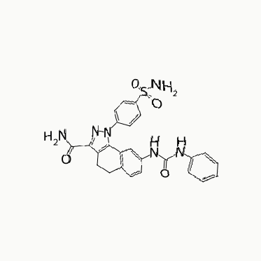 NC(=O)c1nn(-c2ccc(S(N)(=O)=O)cc2)c2c1CCc1ccc(NC(=O)Nc3ccccc3)cc1-2